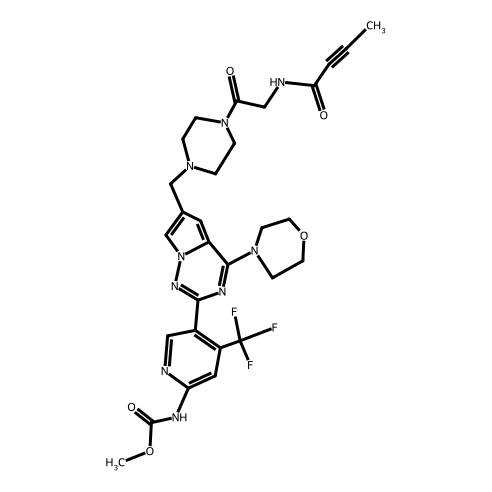 CC#CC(=O)NCC(=O)N1CCN(Cc2cc3c(N4CCOCC4)nc(-c4cnc(NC(=O)OC)cc4C(F)(F)F)nn3c2)CC1